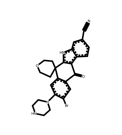 N#Cc1ccc2c3c([nH]c2c1)C1(CCOCC1)c1cc(N2CCNCC2)c(Br)cc1C3=O